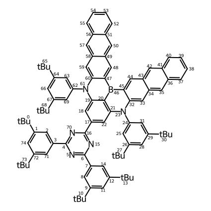 CC(C)(C)c1cc(-c2nc(-c3cc(C(C)(C)C)cc(C(C)(C)C)c3)nc(-c3cc4c5c(c3)N(c3cc(C(C)(C)C)cc(C(C)(C)C)c3)c3cc6cc7ccccc7cc6cc3B5c3cc5cc6ccccc6cc5cc3N4c3cc(C(C)(C)C)cc(C(C)(C)C)c3)n2)cc(C(C)(C)C)c1